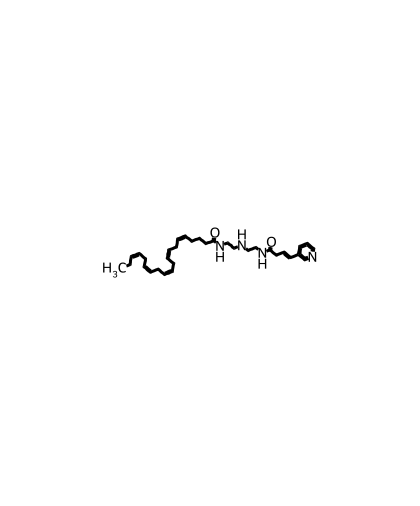 CC/C=C\C/C=C\C/C=C\C/C=C\C/C=C\CCCC(=O)NCCNCCNC(=O)C/C=C/c1cccnc1